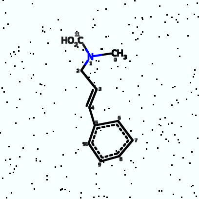 CN(CC=Cc1ccccc1)C(=O)O